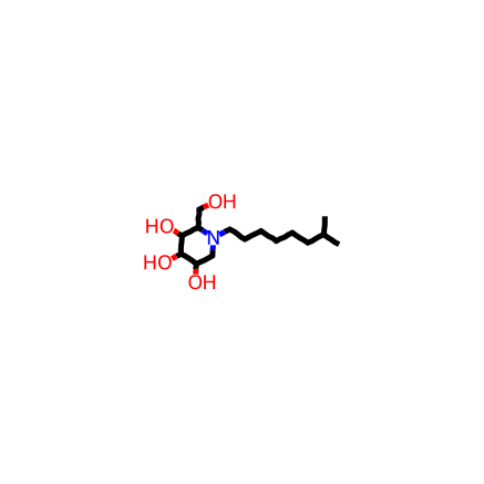 CC(C)CCCCCCN1CC(O)C(O)C(O)C1CO